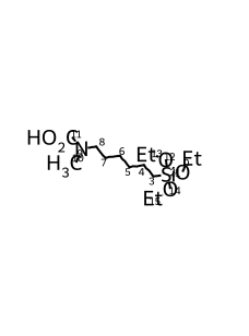 CCO[Si](CCCCCCN(C)C(=O)O)(OCC)OCC